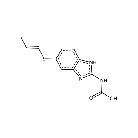 CC=CSc1ccc2[nH]c(NC(=O)O)nc2c1